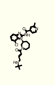 Cc1cc(C(=O)Nc2nc3cccc(Cl)c3n2C2CCCCN(C(=O)C=CCNC(C)(C)C)C2)ccn1